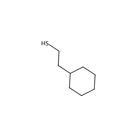 S[CH]CC1CCCCC1